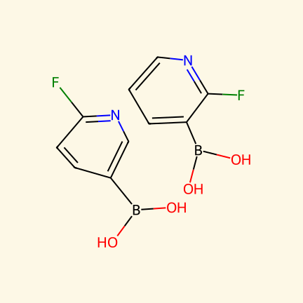 OB(O)c1ccc(F)nc1.OB(O)c1cccnc1F